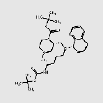 CN1CCN(C(=O)OC(C)(C)C)[C@H](CN(CCCCNC(=O)OC(C)(C)C)[C@H]2CCCc3cccnc32)C1